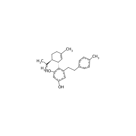 C=C(C)[C@H]1CCC(C)=C[C@@H]1c1c(O)cc(O)cc1CCc1ccc(C)cc1